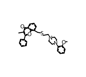 COc1ccccc1N1CCN(CCSCc2cccc3c(=O)c(C)c(-c4ccccc4)oc23)CC1